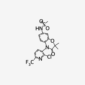 CC1(C)Oc2cc(NS(C)(=O)=O)ccc2N(c2ccc(C(F)(F)F)nc2Cl)C1=O